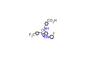 O=C(O)c1ccc(CNC(=O)c2ccc(Nc3cccc(F)c3)c3ccn(Cc4ccc(C(F)(F)F)cc4)c23)cc1